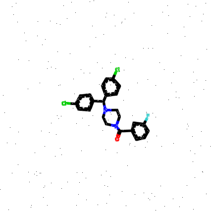 O=C(c1cccc(F)c1)N1CCN(C(c2ccc(Cl)cc2)c2ccc(Cl)cc2)CC1